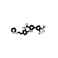 COc1cc(-c2ccc3c(c2)Nc2ccc(CCOc4ccccn4)cc2NC3=O)ccc1[N+](=O)[O-]